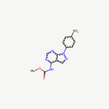 CC(C)(C)OC(=O)Nc1ncnc2c1cnn2-c1ccc([N+](=O)[O-])cc1